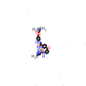 Cc1cc(C(=O)Nc2cccc(C(=O)c3ccc4c(c3)NC(=O)C4=CNc3ccc(COC(=O)CN(C)C)cc3)c2)n(C)n1